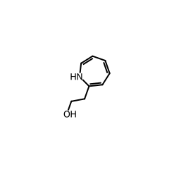 OCCC1=CC=CC=CN1